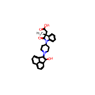 CC1(CC(=O)O)C(=O)N(C2CCN(C3c4cccc5cccc(c45)C3O)CC2)c2ccccc21